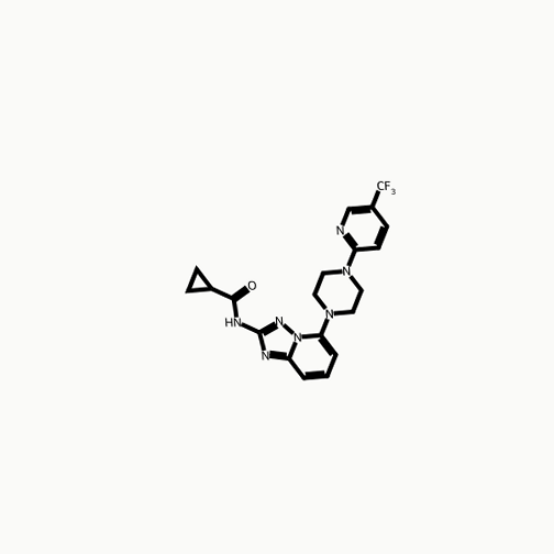 O=C(Nc1nc2cccc(N3CCN(c4ccc(C(F)(F)F)cn4)CC3)n2n1)C1CC1